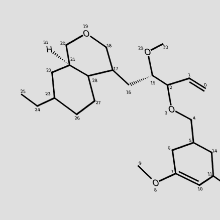 C=CC(OCC1CC(OC)=CC(OC)C1)[C@H](CC1COC[C@@H]2CC(CC)CCC12)OC